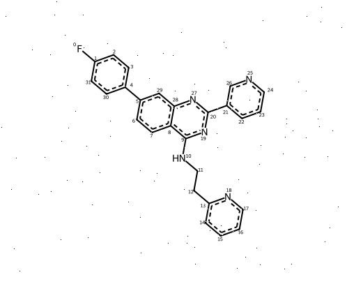 Fc1ccc(-c2ccc3c(NCCc4ccccn4)nc(-c4cccnc4)nc3c2)cc1